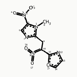 Cn1c([N+](=O)[O-])cnc1CC(c1ncco1)=S(=O)=O